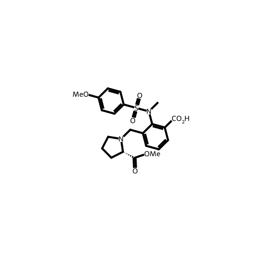 COC(=O)[C@@H]1CCCN1Cc1cccc(C(=O)O)c1N(C)S(=O)(=O)c1ccc(OC)cc1